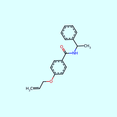 C=CCOc1ccc(C(=O)NC(C)c2ccccc2)cc1